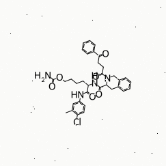 Cc1cc(NC(=O)C(CCCCOC(N)=O)NC(=O)C2Cc3ccccc3CN2C(=O)CCC(=O)c2ccccc2)ccc1Cl